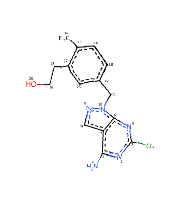 Nc1nc(Cl)nc2c1cnn2Cc1ccc(C(F)(F)F)c(CCO)c1